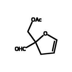 CC(=O)OCC1(C=O)CC=CO1